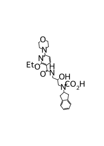 CCOc1nc(N2CCOCC2)ccc1C(=O)NCC(O)CN(C(=O)O)C1Cc2ccccc2C1